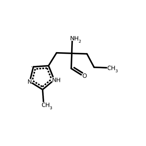 CCCC(N)(C=O)Cc1[c]nc(C)[nH]1